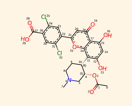 CC(=O)O[C@@H]1CN(C)CC[C@@H]1c1c(O)cc(O)c2c(=O)cc(-c3cc(Cl)c(C(=O)O)cc3Cl)oc12